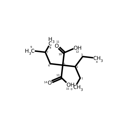 CCC(CC)C(CC(C)C)(C(=O)O)C(=O)O